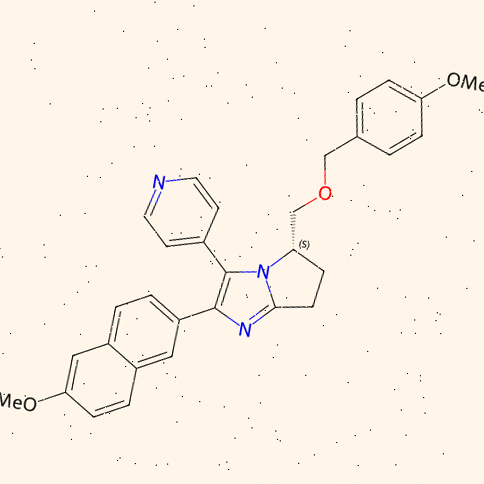 COc1ccc(COC[C@@H]2CCc3nc(-c4ccc5cc(OC)ccc5c4)c(-c4ccncc4)n32)cc1